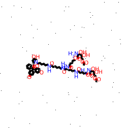 COc1ccc(C(OC[C@@H]2C[C@@H](O)CN2C(=O)CCCCCNC(=O)CCCCCNC(=O)[C@H](CCCCNC(=O)CCCCOC2OC(COC(C)=O)C(O)C(O)C2N)NC(=O)CCCCOC2OC(COC(C)=O)C(O)C(O)C2N)(c2ccccc2)c2ccc(OC)cc2)cc1